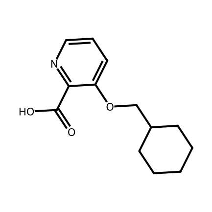 O=C(O)c1ncccc1OCC1CCCCC1